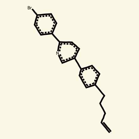 C=CCCCc1ccc(-c2ccc(-c3ccc(Br)cc3)nc2)cc1